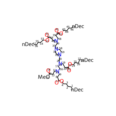 CCCCCCCCCCCCCCOC(=O)CCN(CCC(=O)OC)CCN(CCC(=O)OCCCCCCCCCCCCCC)CCN1CCN(CCN(CCC(=O)OCCCCCCCCCCCCCC)CCC(=O)OCCCCCCCCCCCCCC)CC1